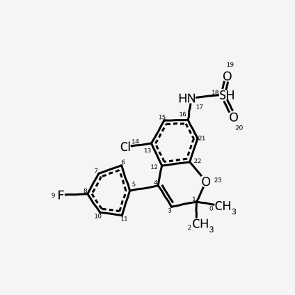 CC1(C)C=C(c2ccc(F)cc2)c2c(Cl)cc(N[SH](=O)=O)cc2O1